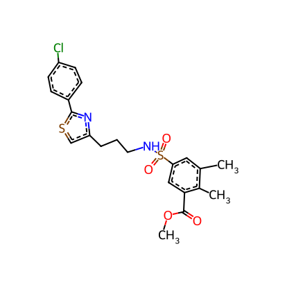 COC(=O)c1cc(S(=O)(=O)NCCCc2csc(-c3ccc(Cl)cc3)n2)cc(C)c1C